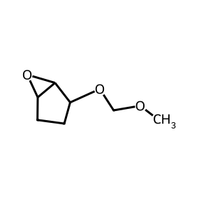 COCOC1CCC2OC12